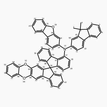 CC1(C)c2ccccc2-c2ccc(N(c3ccc4c(c3)oc3ccccc34)c3cccc4c3-c3ccccc3C43c4ccccc4-c4cc5c(cc43)Oc3ccccc3O5)cc21